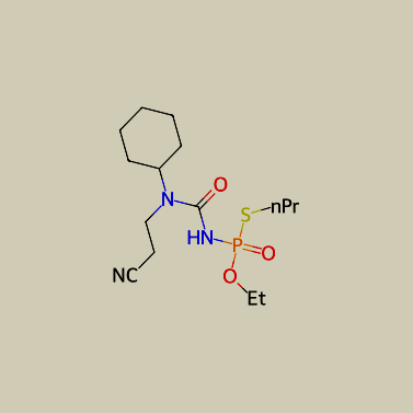 CCCSP(=O)(NC(=O)N(CCC#N)C1CCCCC1)OCC